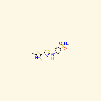 Cc1nc(C)c(-c2csc(Nc3ccc(S(=O)(=O)N(C)C)cc3)n2)s1